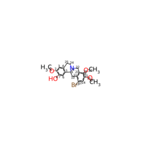 COc1cc2c(cc1O)C1Cc3c(Br)cc(OC)c(OC)c3CN1CC2